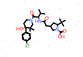 CC(C)[C@@H](NC(=O)CC1CC(C(C)(C)C)N(C(=O)O)C1)C(=O)N1CC[C@](O)(c2ccc(Cl)cc2)C(C)(C)C1